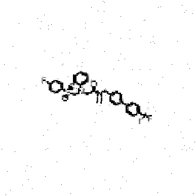 O=C(CN(CS(=O)(=O)c1ccc(F)cc1)c1ccccc1)NCc1ccc(-c2ccc(C(F)(F)F)cc2)cc1